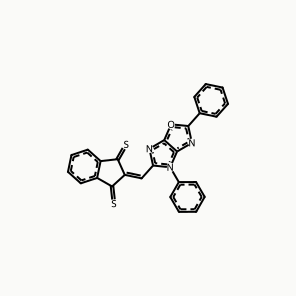 S=C1C(=Cc2nc3oc(-c4ccccc4)nc3n2-c2ccccc2)C(=S)c2ccccc21